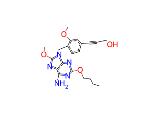 CCCCOc1nc(N)c2nc(OC)n(Cc3ccc(C#CCO)cc3OC)c2n1